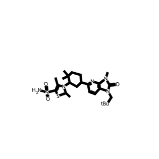 CC1=C(S(N)(=O)=O)SC(C)N1C1CC(c2ccc3c(n2)n(C)c(=O)n3CC(C)(C)C)CCC1(C)C